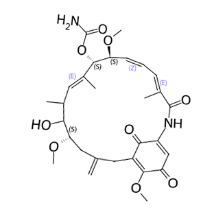 C=C1CC2=C(OC)C(=O)C=C(NC(=O)/C(C)=C/C=C\[C@H](OC)[C@@H](OC(N)=O)/C(C)=C/C(C)C(O)[C@@H](OC)C1)C2=O